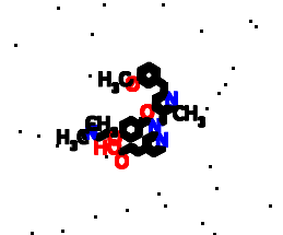 COc1cccc(Cc2ccc(CN(C(=O)C3CCC(OCCN(C)C)CC3)c3cc(C=CC(=O)O)ccn3)c(C)n2)c1